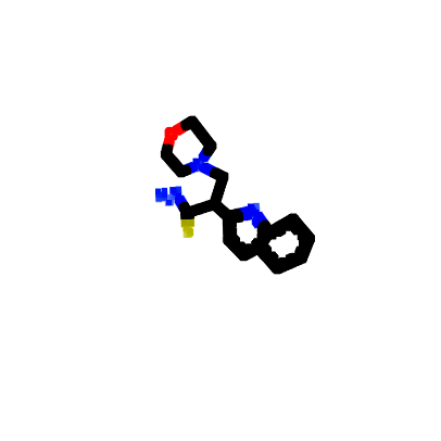 NC(=S)C(CN1CCOCC1)c1ccc2ccccc2n1